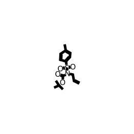 C=CCN(C(=O)OC(C)(C)C)S(=O)(=O)c1ccc(C)cc1